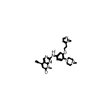 C#Cc1cc(=O)n(C)c2nc(Nc3ccc(N4CCN(C)CC4)c(OCCc4ccnn4C)c3)ncc12